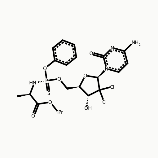 CC(C)OC(=O)[C@@H](C)N[P@@](=S)(OC[C@H]1O[C@@H](n2ccc(N)nc2=O)C(Cl)(Cl)[C@@H]1O)Oc1ccccc1